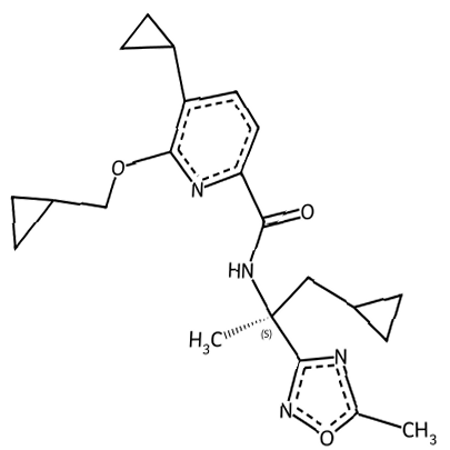 Cc1nc([C@](C)(CC2CC2)NC(=O)c2ccc(C3CC3)c(OCC3CC3)n2)no1